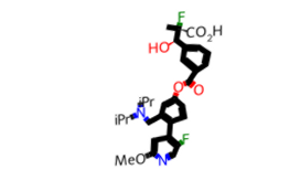 COc1cc(-c2ccc(OC(=O)c3cccc([C@H](O)[C@@](C)(F)C(=O)O)c3)cc2CN(C(C)C)C(C)C)c(F)cn1